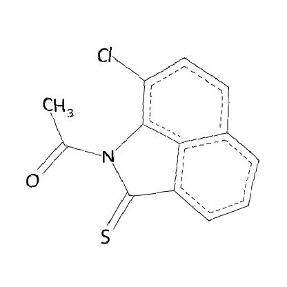 CC(=O)N1C(=S)c2cccc3ccc(Cl)c1c23